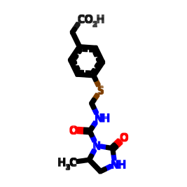 CC1CNC(=O)N1C(=O)NCSc1ccc(CC(=O)O)cc1